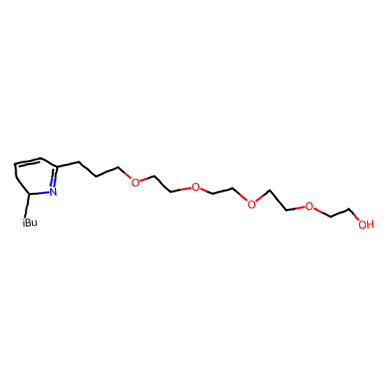 CCC(C)C1CC=CC(CCCOCCOCCOCCOCCO)=N1